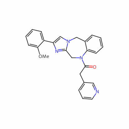 COc1ccccc1-c1cn2c(n1)CN(C(=O)Cc1cccnc1)c1ccccc1C2